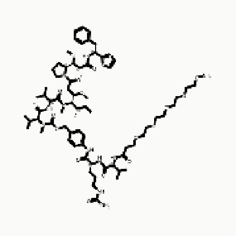 CC[C@H](C)[C@@H](C(CC(=O)N1CCC[C@H]1C(OC)[C@@H](C)C(=O)N[C@@H](Cc1ccccc1)c1nccs1)OC)N(C)C(=O)[C@@H](NC(=O)C(C(C)C)N(C)C(=O)OCc1ccc(NC(=O)[C@H](CCCNC(N)=O)NC(=O)[C@@H](NC(=O)CCOCCOCCOCCOCCON)C(C)C)cc1)C(C)C